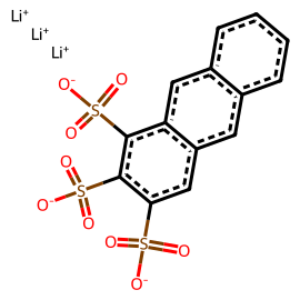 O=S(=O)([O-])c1cc2cc3ccccc3cc2c(S(=O)(=O)[O-])c1S(=O)(=O)[O-].[Li+].[Li+].[Li+]